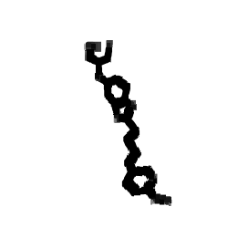 CNc1ccc(C=CC=Cc2nc3ccc(OC(CO)CF)cc3s2)cn1